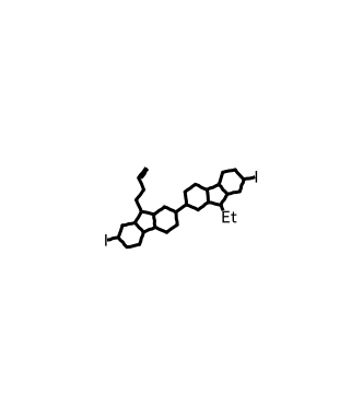 C=CCCC1C2CC(I)CCC2C2CCC(C3CCC4C5CCC(I)CC5C(CC)C4C3)CC21